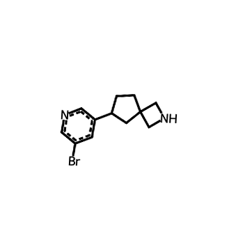 Brc1cncc(C2CCC3(CNC3)C2)c1